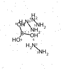 NN.NN.NN.OB(O)O